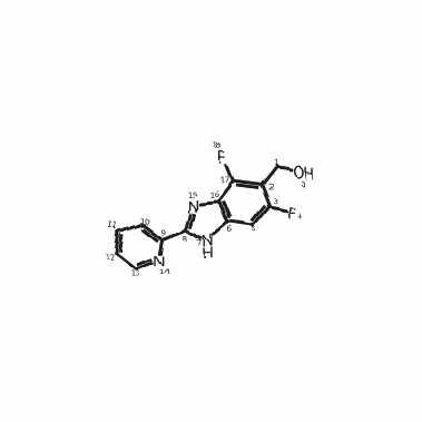 OCc1c(F)cc2[nH]c(-c3ccccn3)nc2c1F